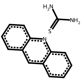 NC(N)=S.c1ccc2nc3ccccc3cc2c1